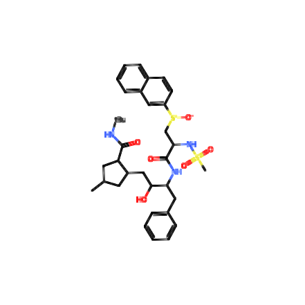 CC1CC(CC(O)C(Cc2ccccc2)NC(=O)C(C[S+]([O-])c2ccc3ccccc3c2)NS(C)(=O)=O)C(C(=O)NC(C)(C)C)C1